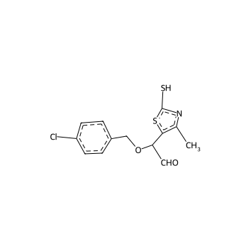 Cc1nc(S)sc1C(C=O)OCc1ccc(Cl)cc1